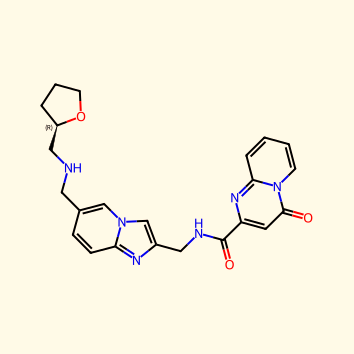 O=C(NCc1cn2cc(CNC[C@H]3CCCO3)ccc2n1)c1cc(=O)n2ccccc2n1